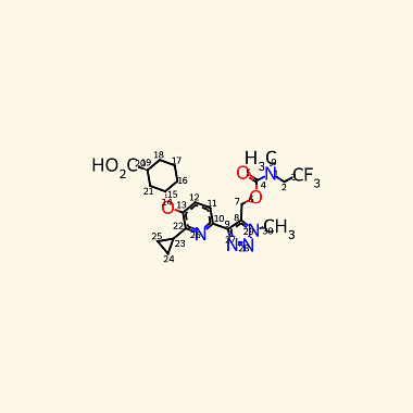 CN(CC(F)(F)F)C(=O)OCc1c(-c2ccc(O[C@H]3CCC[C@H](C(=O)O)C3)c(C3CC3)n2)nnn1C